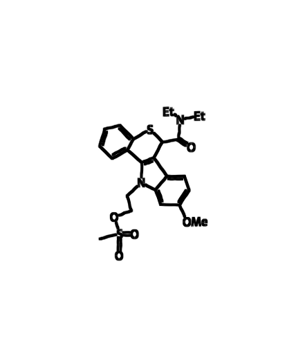 CCN(CC)C(=O)C1Sc2ccccc2-c2c1c1ccc(OC)cc1n2CCOS(C)(=O)=O